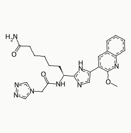 COc1nc2ccccc2cc1-c1cnc([C@H](CCCCCC(N)=O)NC(=O)Cn2cnnc2)[nH]1